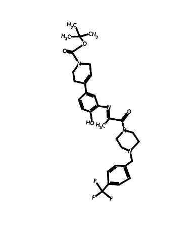 C/C(=N\c1cc(C2=CCN(C(=O)OC(C)(C)C)CC2)ccc1O)C(=O)N1CCN(Cc2ccc(C(F)(F)F)cc2)CC1